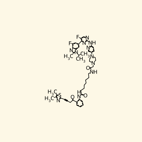 Cc1nc(C#CCC(=O)c2ccccc2NC(=O)CCCCCCCNC(=O)CN2CCN(c3ccc(Nc4ncc(F)c(-c5cc(F)c6nc(C)n(C(C)C)c6c5)n4)nc3)CC2)sc1C